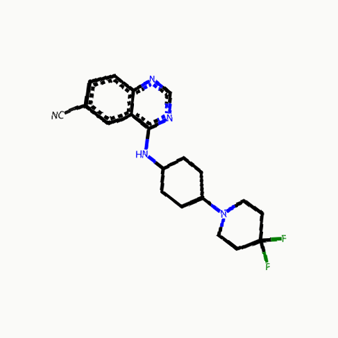 N#Cc1ccc2ncnc(NC3CCC(N4CCC(F)(F)CC4)CC3)c2c1